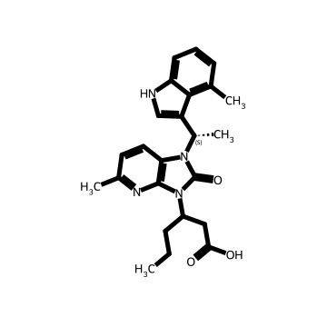 CCCC(CC(=O)O)n1c(=O)n([C@@H](C)c2c[nH]c3cccc(C)c23)c2ccc(C)nc21